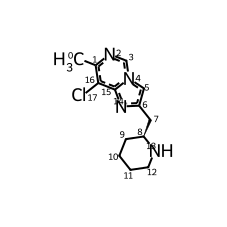 Cc1ncn2cc(C[C@@H]3CCCCN3)nc2c1Cl